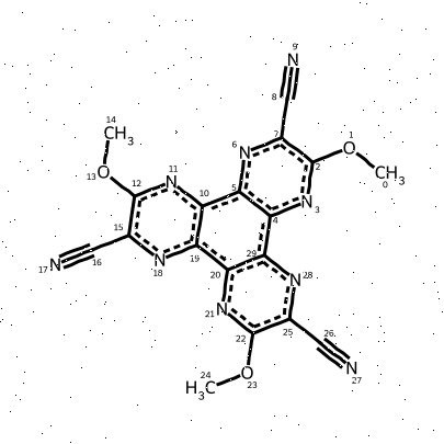 COc1nc2c(nc1C#N)c1nc(OC)c(C#N)nc1c1nc(OC)c(C#N)nc21